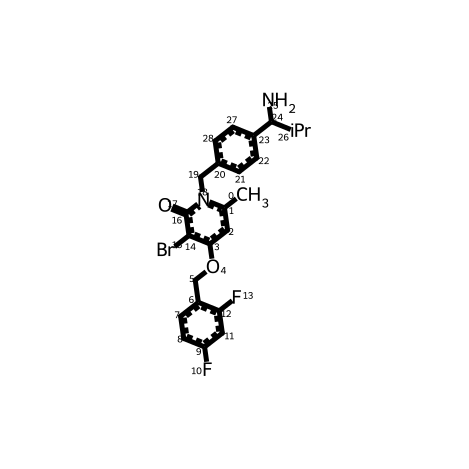 Cc1cc(OCc2ccc(F)cc2F)c(Br)c(=O)n1Cc1ccc(C(N)C(C)C)cc1